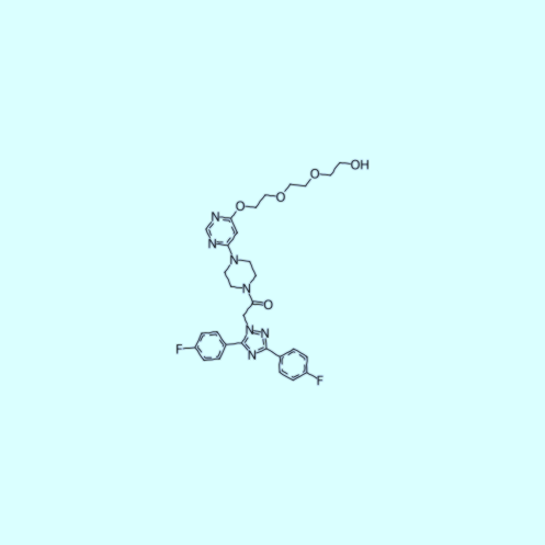 O=C(Cn1nc(-c2ccc(F)cc2)nc1-c1ccc(F)cc1)N1CCN(c2cc(OCCOCCOCCO)ncn2)CC1